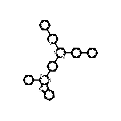 c1ccc(-c2ccc(-c3cc(-c4ccc(-c5ccccc5)cn4)nc(-c4ccc(-c5nc(-c6ccccc6)c6sc7ccccc7c6n5)cc4)n3)cc2)cc1